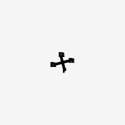 CCC(F)(CC)CC